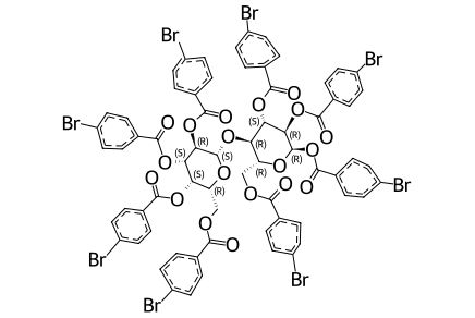 O=C(OC[C@H]1O[C@@H](O[C@H]2[C@H](OC(=O)c3ccc(Br)cc3)[C@@H](OC(=O)c3ccc(Br)cc3)[C@@H](OC(=O)c3ccc(Br)cc3)O[C@@H]2COC(=O)c2ccc(Br)cc2)[C@H](OC(=O)c2ccc(Br)cc2)[C@@H](OC(=O)c2ccc(Br)cc2)[C@H]1OC(=O)c1ccc(Br)cc1)c1ccc(Br)cc1